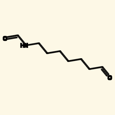 O=CCCCCCCNC=O